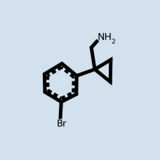 NCC1(c2cccc(Br)c2)CC1